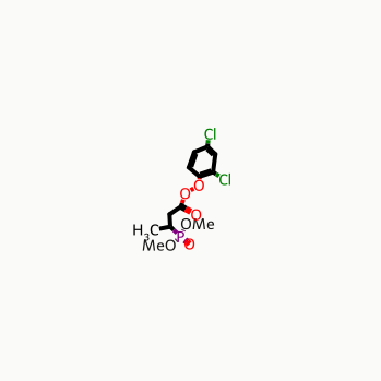 COP(=O)(OC)C(C)CC(=O)OOc1ccc(Cl)cc1Cl